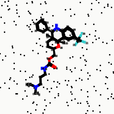 CN(C)CCCNC(=O)OC[C@H]1CC[C@@H]2[C@H](O1)c1cc(C(F)(F)F)ccc1N[C@H]2C1C=CC=CC1